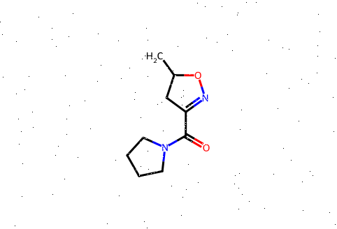 [CH2]C1CC(C(=O)N2CCCC2)=NO1